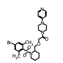 Cc1cc(Br)cc(C)c1S(=O)(=O)N1CCCCC1COCC(=O)N1CCN(c2ccncc2)CC1